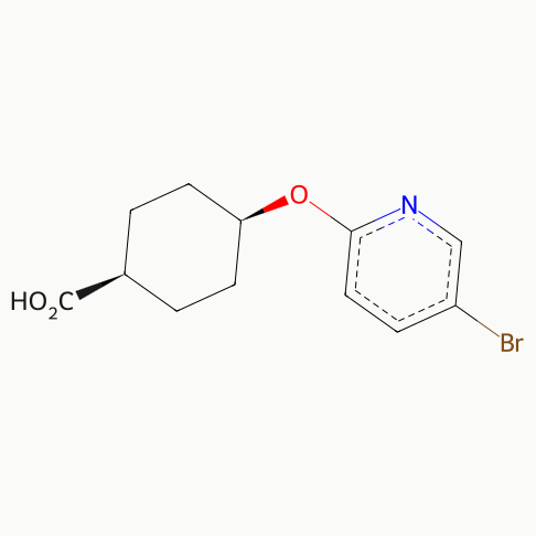 O=C(O)[C@H]1CC[C@@H](Oc2ccc(Br)cn2)CC1